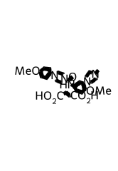 COc1ccc(N2CCN(C(=O)Nc3ccc(OC)c(N4CCN(C)CC4)c3)CC2)cc1.O=C(O)/C=C/C(=O)O